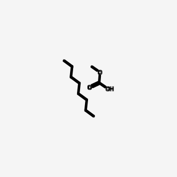 CCCCCCCC.COC(=O)O